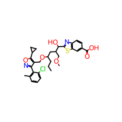 CCCC(CC(COC)C(O)c1nc2ccc(C(=O)O)cc2s1)OCc1c(-c2c(C)cccc2Cl)noc1C1CC1